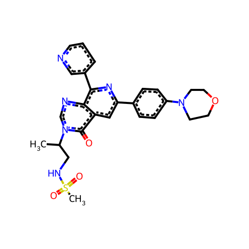 CC(CNS(C)(=O)=O)n1cnc2c(-c3cccnc3)nc(-c3ccc(N4CCOCC4)cc3)cc2c1=O